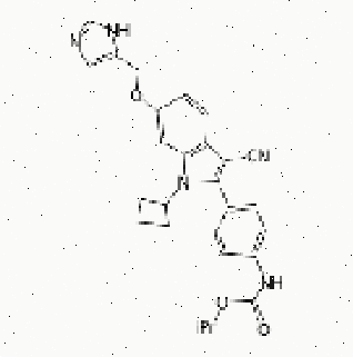 CC(C)OC(=O)Nc1ccc(-c2c(C#N)c3ccc(OCc4cnc[nH]4)cc3n2C2CCC2)cc1